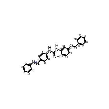 N=C(Nc1ccc(/N=N/c2ccccc2)cc1)Nc1cccc(OCc2ccccc2)c1